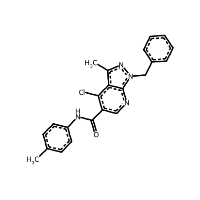 Cc1ccc(NC(=O)c2cnc3c(c(C)nn3Cc3ccccc3)c2Cl)cc1